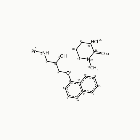 CC(C)NCC(O)COc1cccc2ccccc12.CN1CCCCC1=O.Cl